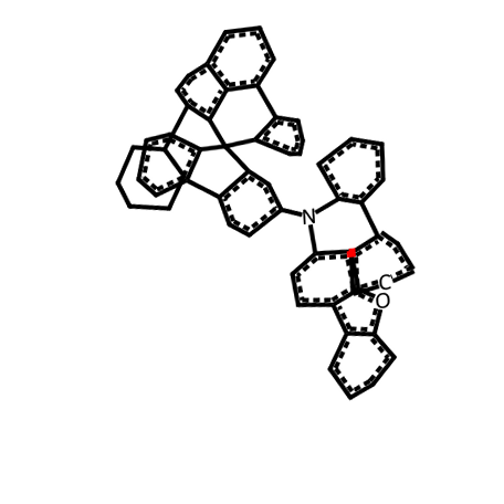 c1ccc(-c2ccccc2N(c2ccc3c(c2)C2(c4ccccc4-3)c3ccccc3-c3cccc4ccc(C5CCCCC5)c2c34)c2ccc3c(c2)oc2ccccc23)cc1